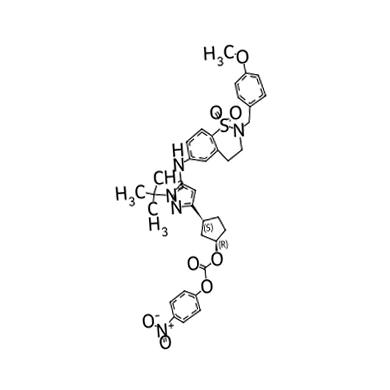 COc1ccc(CN2CCc3cc(Nc4cc([C@H]5CC[C@@H](OC(=O)Oc6ccc([N+](=O)[O-])cc6)C5)nn4C(C)(C)C)ccc3S2(=O)=O)cc1